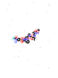 CC[C@H](C)[C@@H]([C@@H](CC(=O)N1CCC[C@H]1[C@H](OC)[C@@H](C)C(=O)N[C@@H](Cc1ccccc1)C(=O)NS(=O)(=O)c1ccc(NC(=O)C(F)(F)F)cc1)OC)N(C)C(=O)[C@@H](NC(=O)OC(C)(C)C)C(C)C